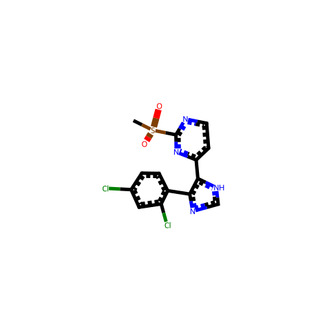 CS(=O)(=O)c1nccc(-c2[nH]cnc2-c2ccc(Cl)cc2Cl)n1